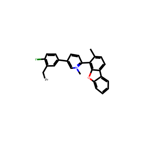 Cc1ccc2c(oc3ccccc32)c1-c1ccc(-c2ccc(F)c(CC(C)C)c2)c[n+]1C